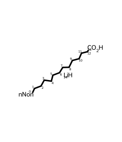 CCCCCCCCCCCCCCCCCCCCCC(=O)O.[LiH]